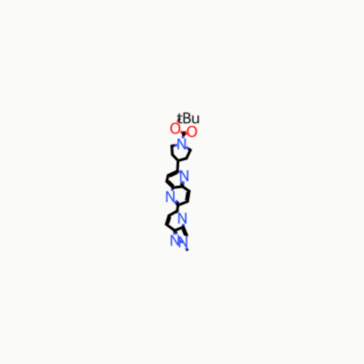 Cn1cc2nc(-c3ccc4nc(C5CCN(C(=O)OC(C)(C)C)CC5)ccc4n3)ccc2n1